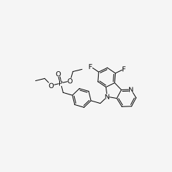 CCOP(=O)(Cc1ccc(Cn2c3cccnc3c3c(F)cc(F)cc32)cc1)OCC